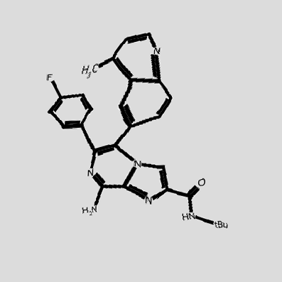 Cc1ccnc2ccc(-c3c(-c4ccc(F)cc4)nc(N)c4nc(C(=O)NC(C)(C)C)cn34)cc12